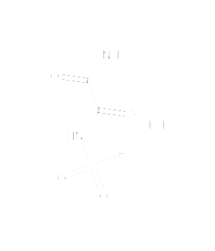 NC(=O)C(=O)NS(=O)(=O)F.[KH]